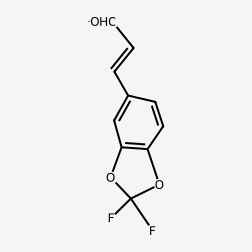 O=[C]C=Cc1ccc2c(c1)OC(F)(F)O2